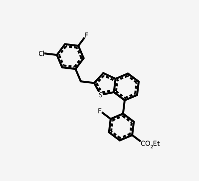 CCOC(=O)c1ccc(F)c(-c2cccc3cc(Cc4cc(F)cc(Cl)c4)sc23)c1